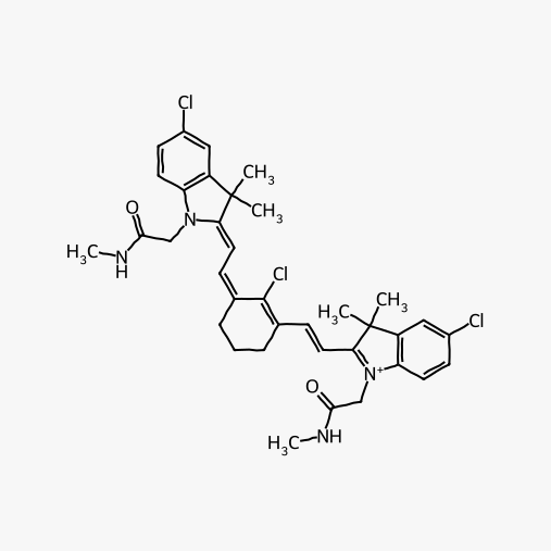 CNC(=O)CN1C(=CC=C2CCCC(C=CC3=[N+](CC(=O)NC)c4ccc(Cl)cc4C3(C)C)=C2Cl)C(C)(C)c2cc(Cl)ccc21